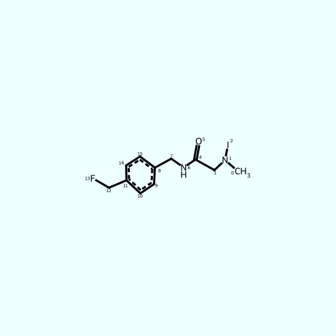 CN(I)CC(=O)NCc1ccc(CF)cc1